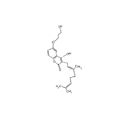 CC(C)=CCC/C(C)=C/Cc1c(O)c2cc(OCCCO)ccc2oc1=O